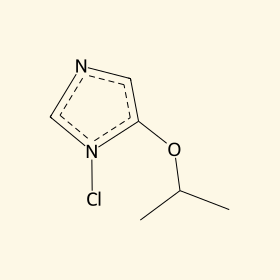 CC(C)Oc1cncn1Cl